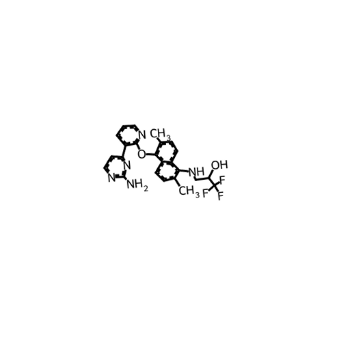 Cc1ccc2c(Oc3ncccc3-c3ccnc(N)n3)c(C)ccc2c1NCC(O)C(F)(F)F